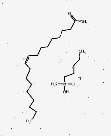 CCCCCCCC/C=C\CCCCCCCC(N)=O.CCCCC[N+](C)(C)O.[Cl-]